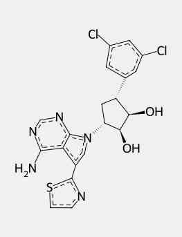 Nc1ncnc2c1c(-c1nccs1)cn2[C@@H]1C[C@H](c2cc(Cl)cc(Cl)c2)[C@@H](O)[C@H]1O